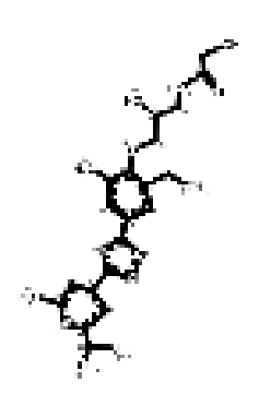 CCc1cc(-c2nnc(-c3cc(C)nc(C(C)C)c3)s2)cc(C)c1OC[C@@H](O)CNC(=O)CO